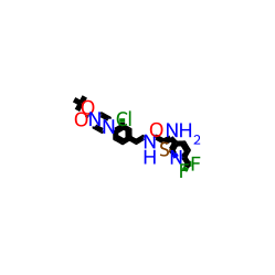 CC(C)(C)OC(=O)N1CCN(c2ccc(CCNC(=O)c3sc4nc(C(F)F)ccc4c3N)cc2Cl)CC1